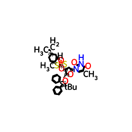 C=C(C)[C@H]1CC[C@@]2(C)S[P@@](=S)(O[C@H]3C[C@H](n4cc(C)c(=O)[nH]c4=O)O[C@@H]3CO[Si](c3ccccc3)(c3ccccc3)C(C)(C)C)O[C@@H]2C1